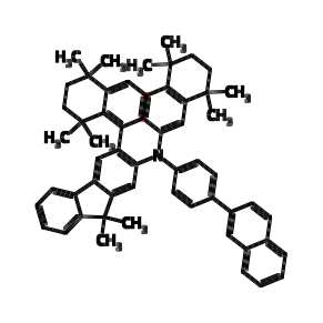 CC1(C)CCC(C)(C)c2cc(N(c3ccc(-c4ccc5ccccc5c4)cc3)c3cc4c(cc3-c3cccc5c3C(C)(C)CCC5(C)C)-c3ccccc3C4(C)C)ccc21